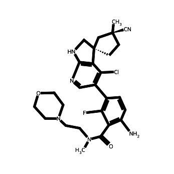 CN(CCN1CCOCC1)C(=O)c1c(N)ccc(-c2cnc3c(c2Cl)[C@@]2(CC[C@](C)(C#N)C2)CN3)c1F